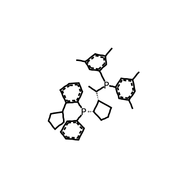 Cc1cc(C)cc(P(c2cc(C)cc(C)c2)C(C)[C@@H]2CCC[C@@H]2P(c2ccccc2)c2ccccc2C2CCCC2)c1